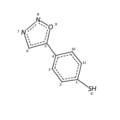 Sc1ccc(-c2cnno2)cc1